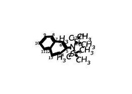 C[Si](C)(C)N(c1[c]c2ccccc2cc1)[Si](C)(C)C